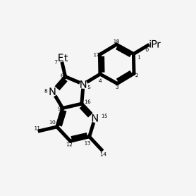 [CH2]C(C)c1ccc(-n2c(CC)nc3c(C)cc(C)nc32)cc1